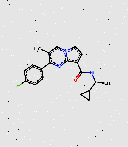 Cc1cn2ccc(C(=O)N[C@@H](C)C3CC3)c2nc1-c1ccc(F)cc1